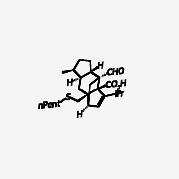 CCCCCSC[C@]12C[C@H]3[C@@H](C)CC[C@@H]3[C@]3(C=O)C[C@H]1C=C(C(C)C)[C@]23C(=O)O